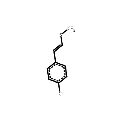 FC(F)(F)SC=Cc1ccc(Cl)cc1